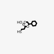 O=C(O)CC(OC(=O)CCS)C1CCCCC1